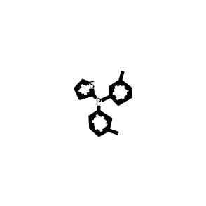 Cc1cccc(P(c2cccc(C)c2)c2cccs2)c1